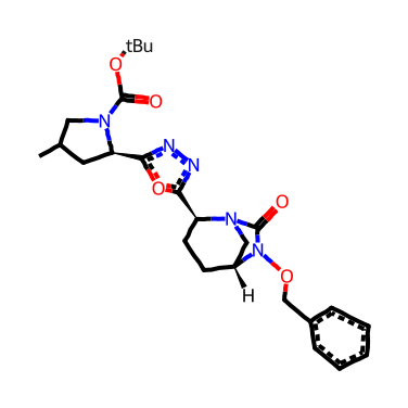 CC1C[C@H](c2nnc([C@@H]3CC[C@@H]4CN3C(=O)N4OCc3ccccc3)o2)N(C(=O)OC(C)(C)C)C1